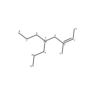 CC=C(C)CN(CCC)CCC